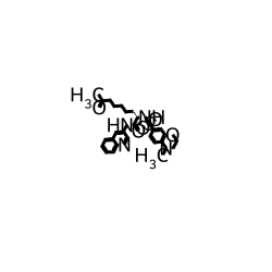 CC(=O)CCCCC[C@H](NS(=O)(=O)c1ccc2c(c1)OCCN2C)C(=O)Nc1cnc2ccccc2c1